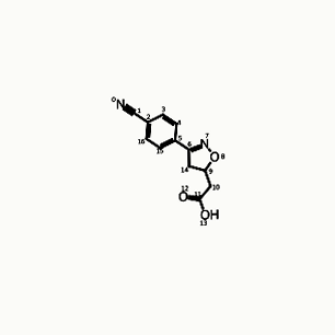 N#Cc1ccc(C2=NOC(CC(=O)O)C2)cc1